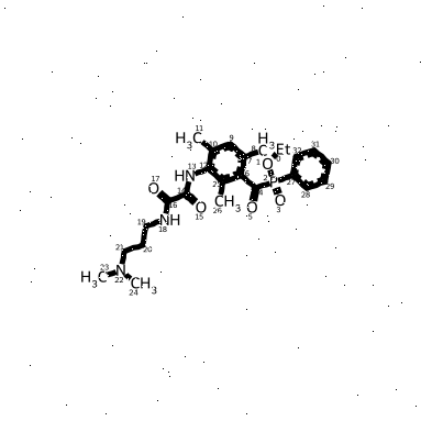 CCOP(=O)(C(=O)c1c(C)cc(C)c(NC(=O)C(=O)NCCCN(C)C)c1C)c1ccccc1